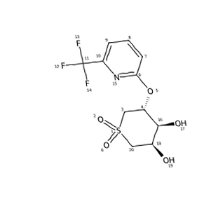 O=S1(=O)C[C@H](Oc2cccc(C(F)(F)F)n2)[C@@H](O)[C@@H](O)C1